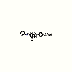 COc1ccc(-c2nn3c(=O)cc(/C=C/c4cccnc4)nc3s2)cc1